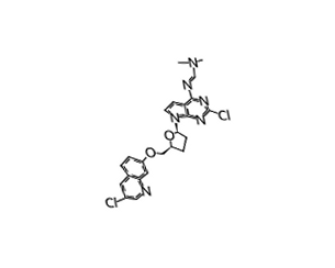 CN(C)/C=N/c1nc(Cl)nc2c1ccn2[C@H]1CC[C@@H](COc2ccc3cc(Cl)cnc3c2)O1